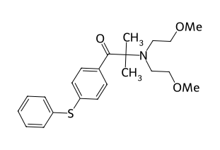 COCCN(CCOC)C(C)(C)C(=O)c1ccc(Sc2ccccc2)cc1